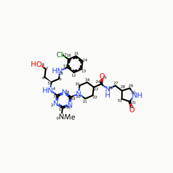 CNc1nc(N[C@@H](CCO)CNc2ccccc2Cl)nc(N2CCC(C(=O)NCC3CNC(=O)C3)CC2)n1